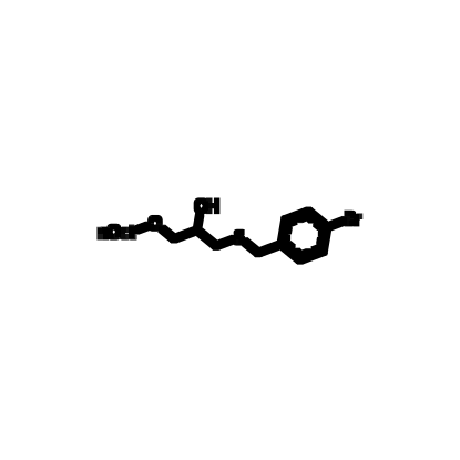 CCCCCCCCOCC(O)CSCc1ccc(Br)cc1